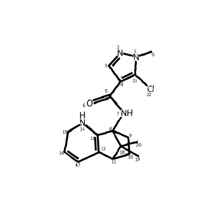 Cn1ncc(C(=O)NC23CCC(C4=C2NCC=C4)C3(C)C)c1Cl